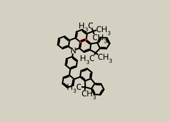 CC(C)(C)c1ccc(-c2ccccc2N(c2ccc(-c3ccccc3-c3cccc4c3C(C)(C)c3ccccc3-4)cc2)c2ccc3c(c2)C(C)(C)c2ccccc2-3)cc1